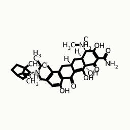 CCN(Cc1cc(O)c2c(c1Cl)C[C@H]1C[C@H]3[C@H](N(C)C)C(O)=C(C(N)=O)C(=O)[C@@]3(O)C(O)=C1C2=O)[C@@H]1CC2CCC1(C)C2(C)C